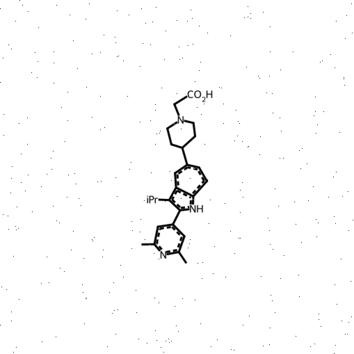 Cc1cc(-c2[nH]c3ccc(C4CCN(CC(=O)O)CC4)cc3c2C(C)C)cc(C)n1